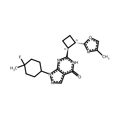 Cc1coc([C@H]2CC[C@@H]2c2nc3c(cnn3C3CCC(C)(F)CC3)c(=O)[nH]2)n1